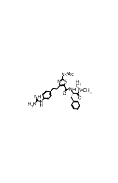 CC(=O)Nc1nc(CCc2ccc(NC(=N)N)cc2)c(C(=O)N[C@@H](Cc2ccccc2)C(=O)N(C)C)s1